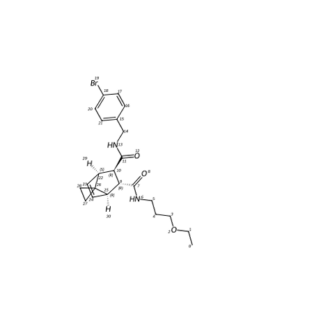 CCOCCCNC(=O)[C@H]1[C@H](C(=O)NCc2ccc(Br)cc2)[C@@H]2C=C[C@H]1C21CC1